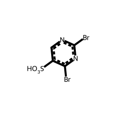 O=S(=O)(O)c1cnc(Br)nc1Br